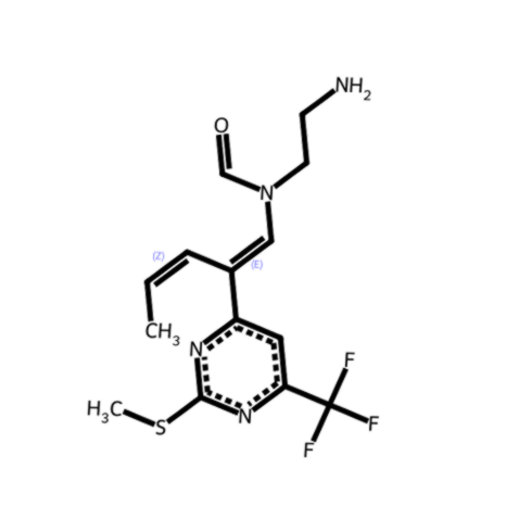 C/C=C\C(=C/N(C=O)CCN)c1cc(C(F)(F)F)nc(SC)n1